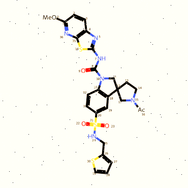 COc1ccc2nc(NC(=O)N3CC4(CCN(C(C)=O)C4)c4cc(S(=O)(=O)NCc5cccs5)ccc43)sc2n1